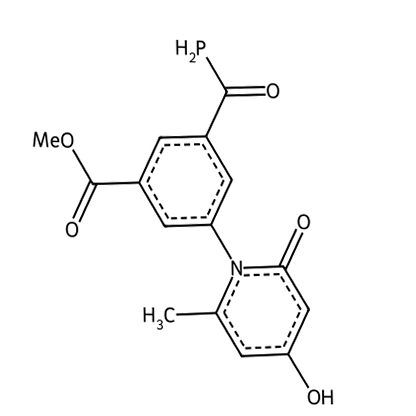 COC(=O)c1cc(C(=O)P)cc(-n2c(C)cc(O)cc2=O)c1